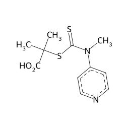 CN(C(=S)SC(C)(C)C(=O)O)c1ccncc1